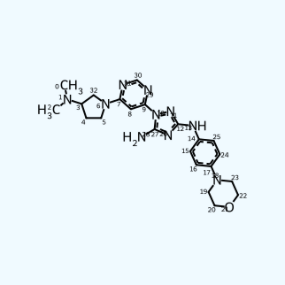 CN(C)C1CCN(c2cc(-n3nc(Nc4ccc(N5CCOCC5)cc4)nc3N)ncn2)C1